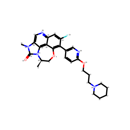 C[C@@H]1COc2c(-c3ccc(OCCCN4CCCCC4)nc3)c(F)cc3ncc4c(c23)n1c(=O)n4C